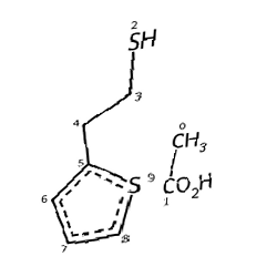 CC(=O)O.SCCc1cccs1